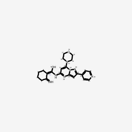 N=C1CCCC/C1=C(\O)Nc1cc(N2CCOCC2)n2nc(-c3ccncc3)cc2n1